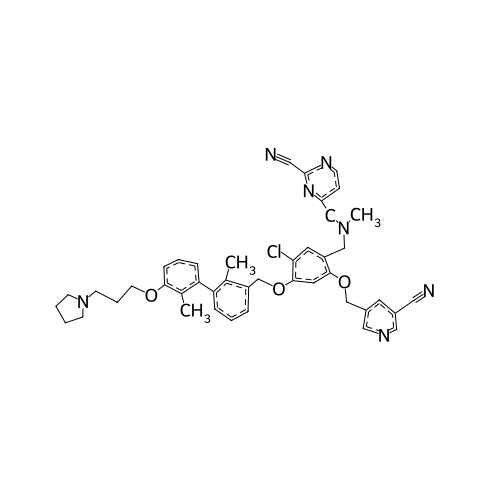 Cc1c(COc2cc(OCc3cncc(C#N)c3)c(CN(C)Cc3ccnc(C#N)n3)cc2Cl)cccc1-c1cccc(OCCCN2CCCC2)c1C